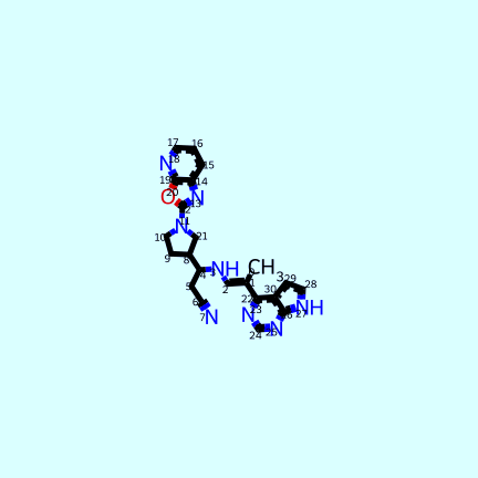 C/C(=C\NC(CC#N)C1CCN(c2nc3cccnc3o2)C1)c1ncnc2[nH]ccc12